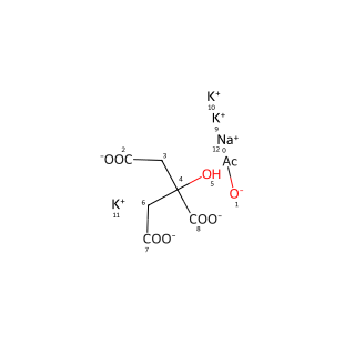 CC(=O)[O-].O=C([O-])CC(O)(CC(=O)[O-])C(=O)[O-].[K+].[K+].[K+].[Na+]